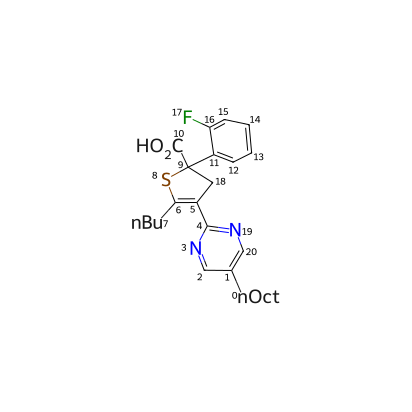 CCCCCCCCc1cnc(C2=C(CCCC)SC(C(=O)O)(c3ccccc3F)C2)nc1